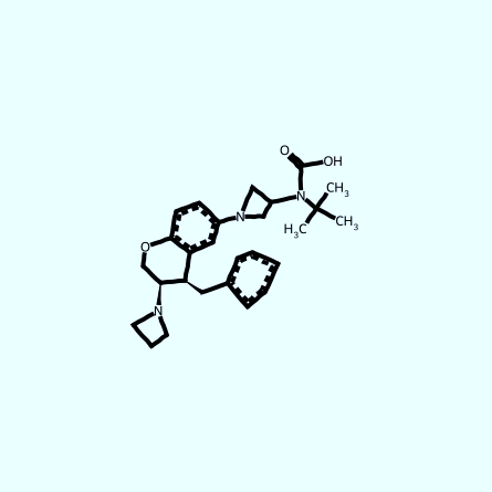 CC(C)(C)N(C(=O)O)C1CN(c2ccc3c(c2)[C@@H](Cc2ccccc2)[C@@H](N2CCC2)CO3)C1